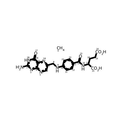 C.Nc1nc2ncc(CNc3ccc(C(=O)NC(CCC(=O)O)C(=O)O)cc3)nc2c(=O)[nH]1